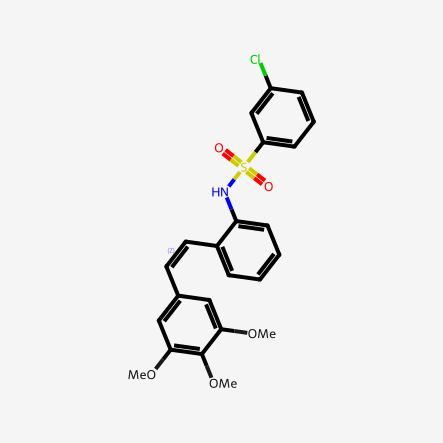 COc1cc(/C=C\c2ccccc2NS(=O)(=O)c2cccc(Cl)c2)cc(OC)c1OC